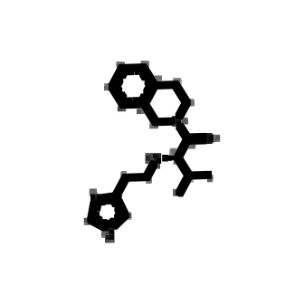 CC(C)[C@H](NCCc1c[nH]cn1)C(=O)N1CCc2ccccc2C1